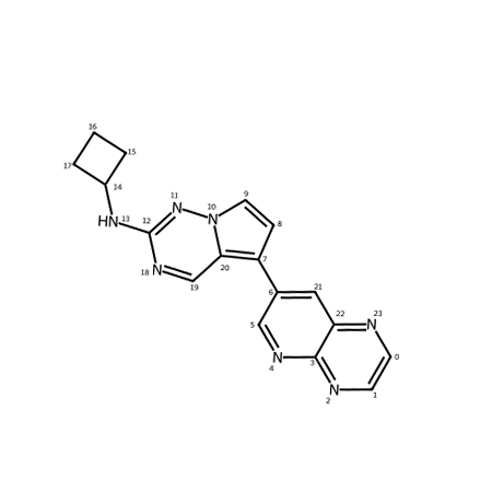 c1cnc2ncc(-c3ccn4nc(NC5CCC5)ncc34)cc2n1